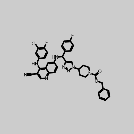 N#Cc1cnc2ccc(NC(c3ccc(F)cc3)c3cn(C4CCN(C(=O)OCc5ccccc5)CC4)nn3)cc2c1Nc1ccc(F)c(Cl)c1